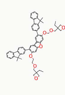 CCC1(COCCOc2cc3oc4cc(OCOCC5(CC)COC5)c(-c5ccc6c(c5)C(C)(C)c5ccccc5-6)cc4c3cc2-c2ccc3c(c2)C(C)(C)c2ccccc2-3)COC1